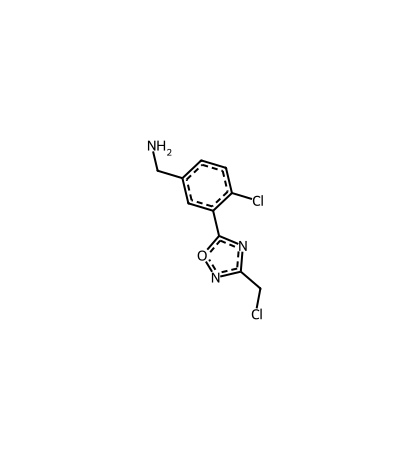 NCc1ccc(Cl)c(-c2nc(CCl)no2)c1